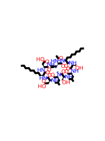 C#CC[C@H](NC(C)=O)C(=O)NC(CCCCCCCC)C(=O)N[C@@H](CO)C(=O)N[C@@H](CC(C)C)C(=O)N[C@@H](CO)C(=O)N(C)[C@@H](CC(C)C)C(=O)N[C@@H](CC(=O)O)C(=O)N[C@@H](CCCCCCCCC)C(=O)N[C@@H](CC(=O)O)C(N)=O